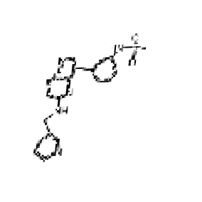 CS(=O)(=O)Nc1cccc(-c2cnn3ccc(NCc4cccnc4)nc23)c1